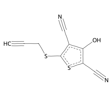 C#CCSc1sc(C#N)c(O)c1C#N